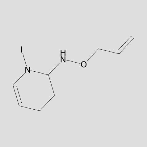 C=CCONC1CCC=CN1I